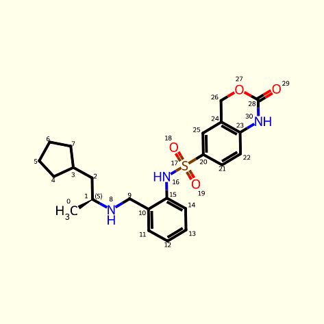 C[C@@H](CC1CCCC1)NCc1ccccc1NS(=O)(=O)c1ccc2c(c1)COC(=O)N2